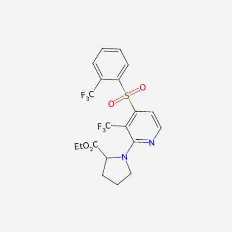 CCOC(=O)C1CCCN1c1nccc(S(=O)(=O)c2ccccc2C(F)(F)F)c1C(F)(F)F